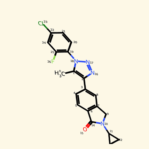 Cc1c(-c2ccc3c(c2)CN(C2CC2)C3=O)nnn1-c1ccc(Cl)cc1F